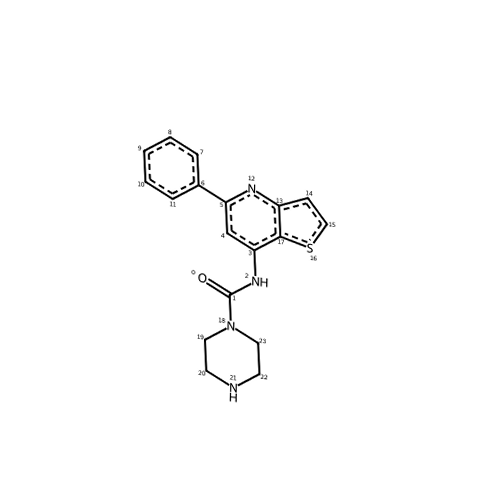 O=C(Nc1cc(-c2ccccc2)nc2ccsc12)N1CCNCC1